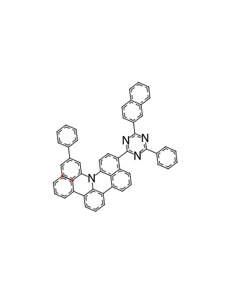 c1ccc(-c2cccc(N3c4c(-c5ccccc5)cccc4-c4cccc5c(-c6nc(-c7ccccc7)nc(-c7ccc8ccccc8c7)n6)ccc3c45)c2)cc1